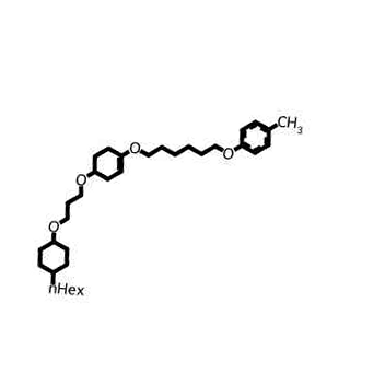 [CH2+][CH-]CCCCC1CCC(OCCCOC2CC=C(OCCCCCCOc3ccc(C)cc3)CC2)CC1